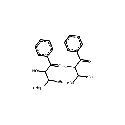 CCCCC(CCCC)C(O)C(=O)c1ccccc1.CCCCCCCC(CCCC)C(O)C(=O)c1ccccc1